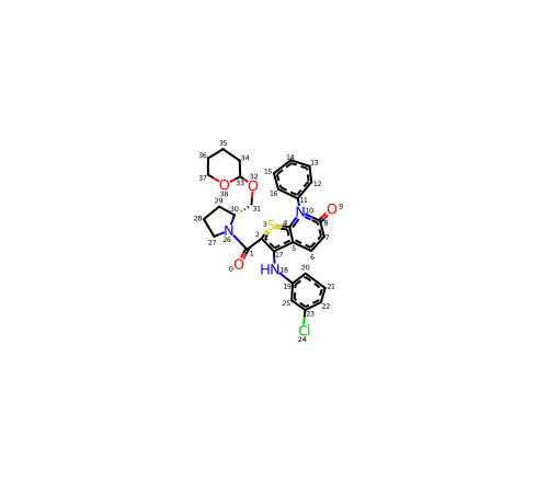 O=C(c1sc2c(ccc(=O)n2-c2ccccc2)c1Nc1cccc(Cl)c1)N1CCC[C@@H]1COC1CCCCO1